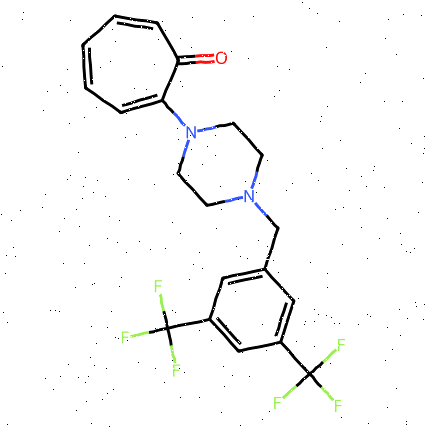 O=c1cccccc1N1CCN(Cc2cc(C(F)(F)F)cc(C(F)(F)F)c2)CC1